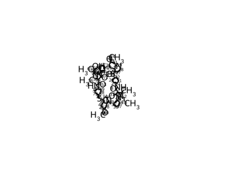 CCCn1c(C)c(C(=O)Nc2ccc([S+]([O-])c3ccnc4cc(OC)ccc34)cc2)c(=O)n1-c1ccccc1.COc1ccc2c(Sc3ccc(NC(=O)c4c(C)n(CC(C)(C)O)n(-c5ccccc5)c4=O)cc3)ccnc2c1